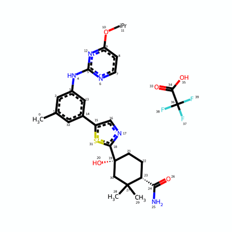 Cc1cc(Nc2nccc(OC(C)C)n2)cc(-c2cnc([C@@]3(O)CC[C@H](C(N)=O)C(C)(C)C3)s2)c1.O=C(O)C(F)(F)F